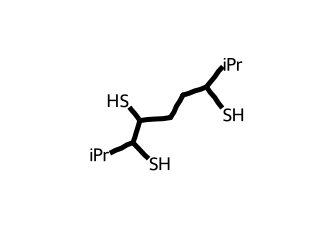 CC(C)C(S)CCC(S)C(S)C(C)C